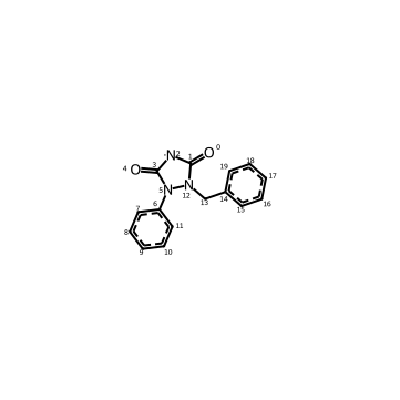 O=C1[N]C(=O)N(c2ccccc2)N1Cc1ccccc1